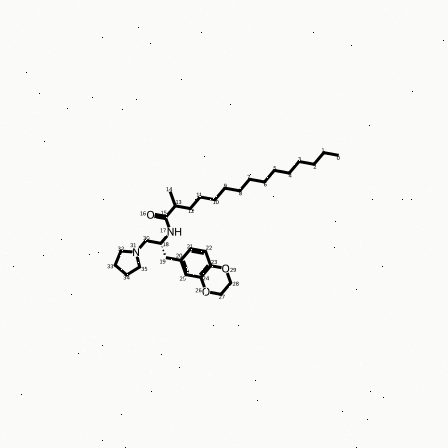 CCCCCCCCCCCCCC(C)C(=O)N[C@H](Cc1ccc2c(c1)OCCO2)CN1CCCC1